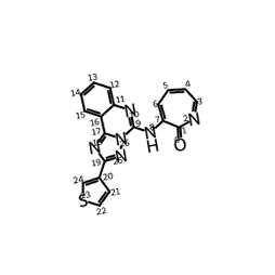 O=c1nccccc1Nc1nc2ccccc2c2nc(-c3ccsc3)nn12